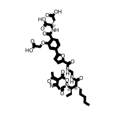 CCCCC[C@@H](C(=O)NCNC(=O)c1ccc(-c2ccc(C(=O)N[C@@H](CC(=O)O)C(=O)O)c(OCC(=O)O)c2)o1)[C@@H](CC)N(C=O)OC(=O)c1c(C)noc1C